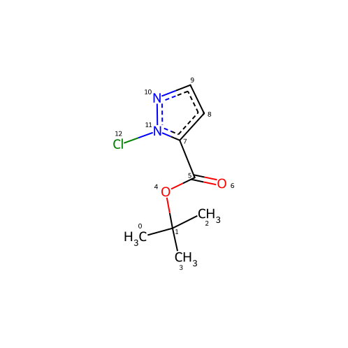 CC(C)(C)OC(=O)c1ccnn1Cl